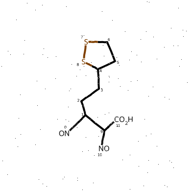 O=NC(CCC1CCSS1)C(N=O)C(=O)O